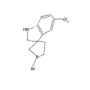 CC(=O)N1CCC2(CNc3ccc(C(F)(F)F)cc32)C1